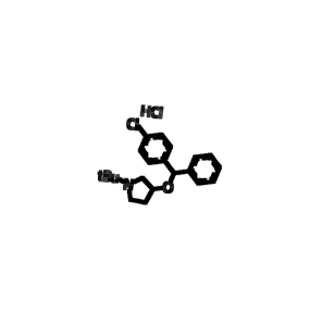 CC(C)(C)N1CCC(OC(c2ccccc2)c2ccc(Cl)cc2)C1.Cl